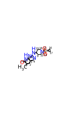 Cc1cc2cnc(NC3CCN(S(=O)(=O)C4CC4)CC3)nc2[nH]c1=O